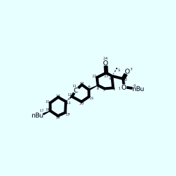 CCCCOC(=O)[C@@]1(C)CC[C@@H](C2CCC([C@H]3CC[C@H](CCCC)CC3)CC2)CC1=O